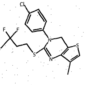 Cc1csc2c1N=C(SCCC(F)(F)F)N(c1ccc(Cl)cc1)C2